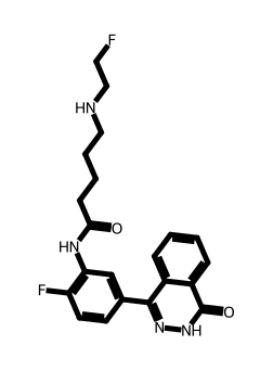 O=C(CCCCNCCF)Nc1cc(-c2n[nH]c(=O)c3ccccc23)ccc1F